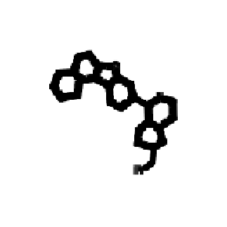 CC(C)Cc1ccc2c(-c3ccc4c(c3)oc3ccc5ccccc5c34)nccc2c1